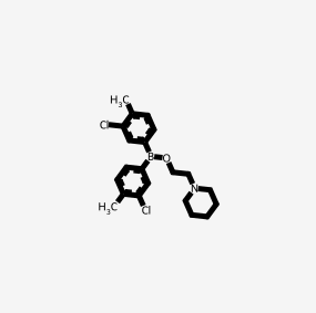 Cc1ccc(B(OCCN2CCCCC2)c2ccc(C)c(Cl)c2)cc1Cl